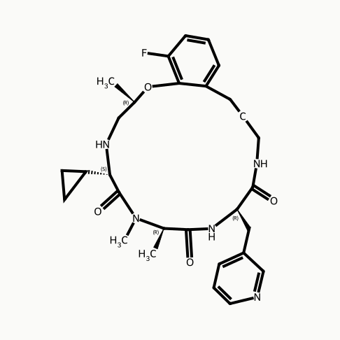 C[C@@H]1CN[C@@H](C2CC2)C(=O)N(C)[C@H](C)C(=O)N[C@H](Cc2cccnc2)C(=O)NCCCc2cccc(F)c2O1